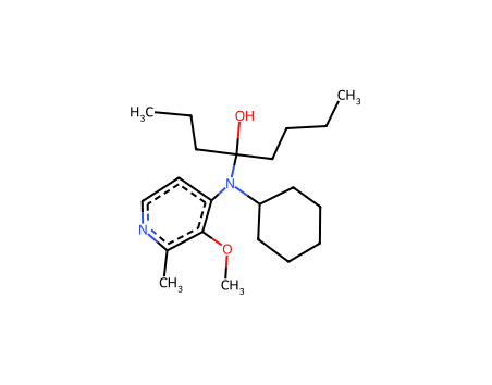 CCCCC(O)(CCC)N(c1ccnc(C)c1OC)C1CCCCC1